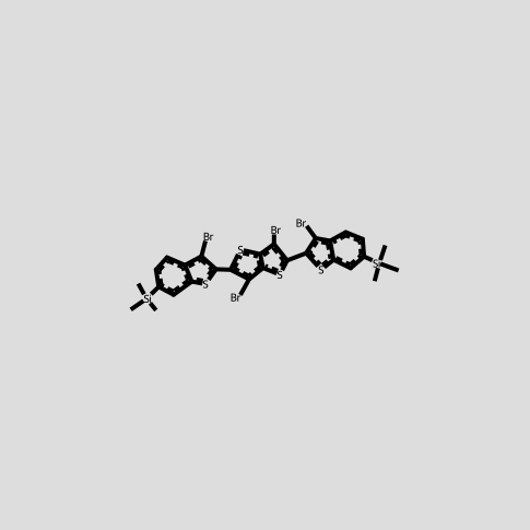 C[Si](C)(C)c1ccc2c(Br)c(-c3sc4c(Br)c(-c5sc6cc([Si](C)(C)C)ccc6c5Br)sc4c3Br)sc2c1